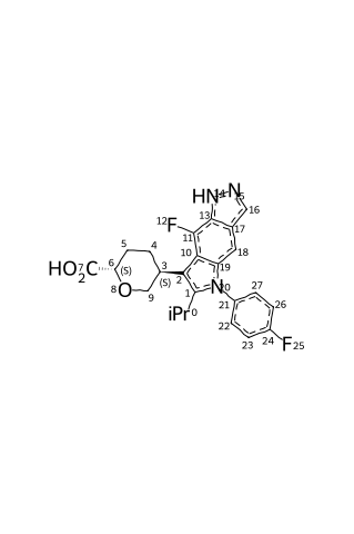 CC(C)c1c([C@@H]2CC[C@@H](C(=O)O)OC2)c2c(F)c3[nH]ncc3cc2n1-c1ccc(F)cc1